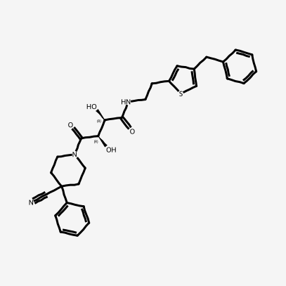 N#CC1(c2ccccc2)CCN(C(=O)[C@H](O)[C@@H](O)C(=O)NCCc2cc(Cc3ccccc3)cs2)CC1